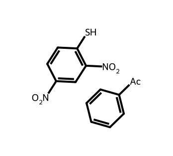 CC(=O)c1ccccc1.O=[N+]([O-])c1ccc(S)c([N+](=O)[O-])c1